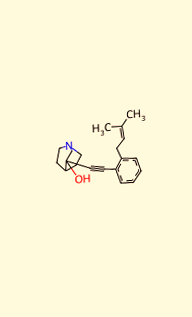 CC(C)=CCc1ccccc1C#CC1(O)CN2CCC1CC2